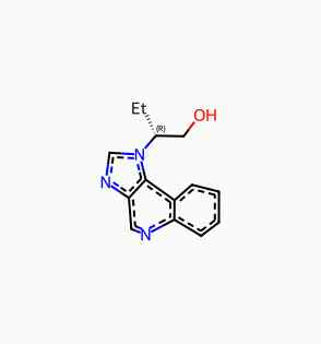 CC[C@H](CO)n1cnc2cnc3ccccc3c21